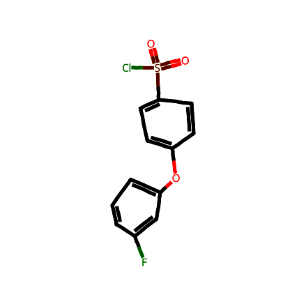 O=S(=O)(Cl)c1ccc(Oc2cccc(F)c2)cc1